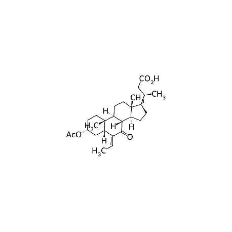 C/C=C1/C(=O)[C@@H]2[C@H](CC[C@]3(C)[C@@H]([C@H](C)CC(=O)O)CC[C@@H]23)[C@@]2(C)CC[C@@H](OC(C)=O)C[C@@H]12